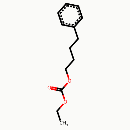 CCOC(=O)OCCCCc1ccccc1